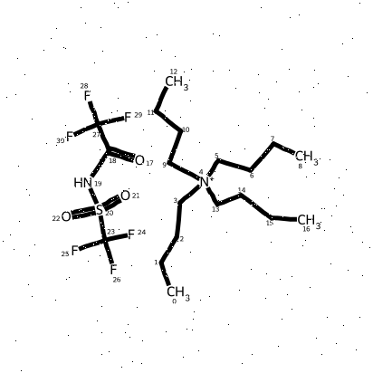 CCCC[N+](CCCC)(CCCC)CCCC.O=C(NS(=O)(=O)C(F)(F)F)C(F)(F)F